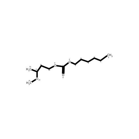 CCCCCCOC(=O)OCCC(C)OC